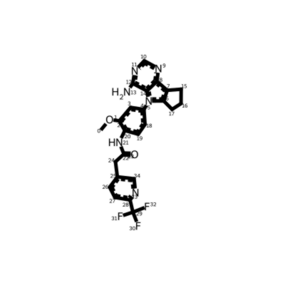 COc1cc(-n2c3c(c4ncnc(N)c42)CCC3)ccc1NC(=O)Cc1ccc(C(F)(F)F)nc1